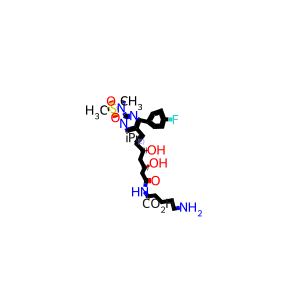 CC(C)c1nc(N(C)S(C)(=O)=O)nc(-c2ccc(F)cc2)c1/C=C/[C@H](O)C[C@@H](O)CC(=O)NC(CCCCN)C(=O)O